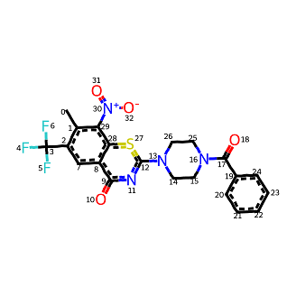 Cc1c(C(F)(F)F)cc2c(=O)nc(N3CCN(C(=O)c4ccccc4)CC3)sc2c1[N+](=O)[O-]